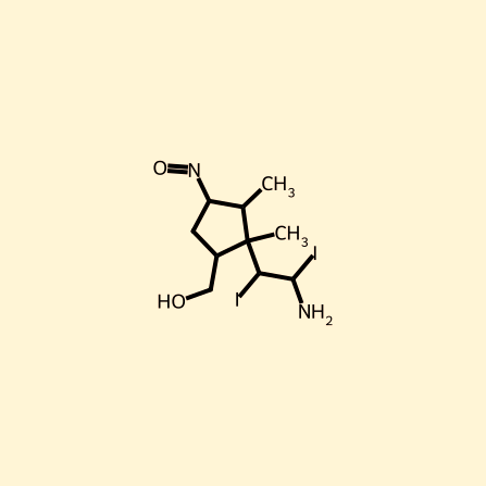 CC1C(N=O)CC(CO)C1(C)C(I)C(N)I